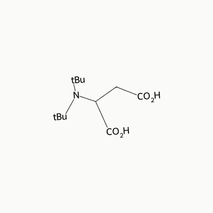 CC(C)(C)N(C(CC(=O)O)C(=O)O)C(C)(C)C